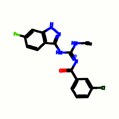 CC(C)(C)N/C(=N/C(=O)c1cccc(Cl)c1)Nc1n[nH]c2cc(F)ccc12